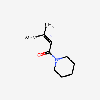 CN/C(C)=C\C(=O)N1CCCCC1